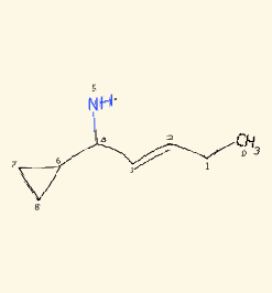 CCC=CC([NH])C1CC1